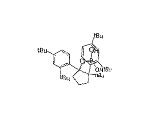 CCCCC1(c2ccc(C(C)(C)C)cc2C(C)(C)C)CCCC1(OP(O)O)c1ccc(C(C)(C)C)cc1C(C)(C)C